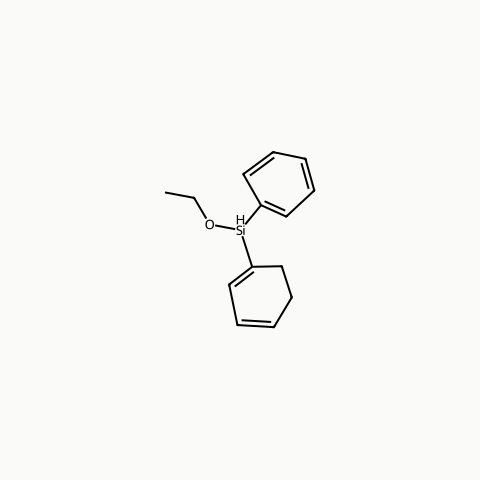 CCO[SiH](C1=CC=CCC1)c1ccccc1